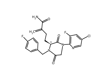 C=C(CC[C@H]1C(=O)N(c2ncc(Cl)cc2F)CC(=O)N1Cc1ccc(F)cc1)C(N)=O